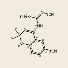 CCCCCC/C(=N/C#N)NC1=CC(C)(C)Oc2ccc(C#N)cc21